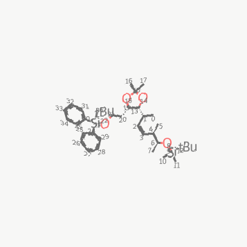 CC(/C=C\[C@@H](C)[C@H](C)O[Si](C)(C)C(C)(C)C)[C@H]1OC(C)(C)O[C@H]1CCO[Si](c1ccccc1)(c1ccccc1)C(C)(C)C